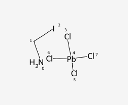 NCI.[Cl][Pb]([Cl])([Cl])[Cl]